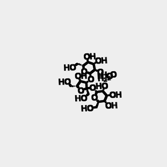 O.O.OC[C@H]1O[C@@](CO)(O[C@H]2O[C@H](CO)[C@@H](O)[C@H](O)[C@H]2O)[C@@H](O[C@H]2O[C@H](CO)[C@@H](O)[C@H](O)[C@H]2O)[C@@H]1O